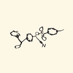 Cc1ccc(S(=O)(=O)OC(C#N)c2ccc(C(=O)c3cccs3)cc2)cc1